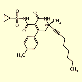 CCCCCCC#C[C@]1(C)CC(c2ccc(C)cc2)=C(C(=O)NS(=O)(=O)C2CC2)C(=O)N1